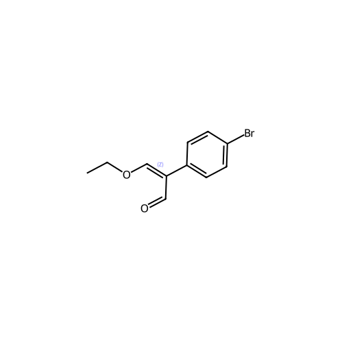 CCO/C=C(\C=O)c1ccc(Br)cc1